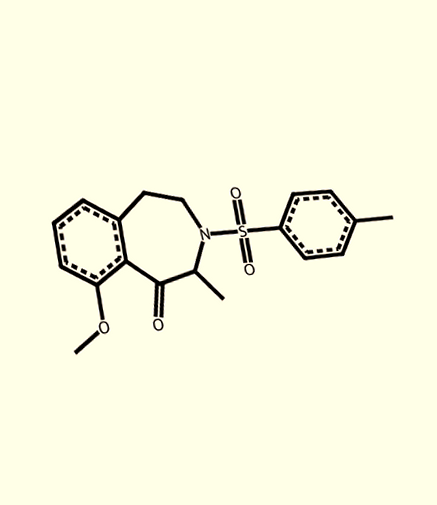 COc1cccc2c1C(=O)C(C)N(S(=O)(=O)c1ccc(C)cc1)CC2